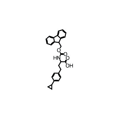 O=C(NC(CCc1ccc(C2CC2)cc1)C(=O)O)OCC1c2ccccc2-c2ccccc21